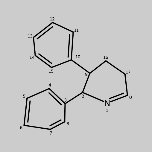 C1=NC(c2ccccc2)C(c2ccccc2)CC1